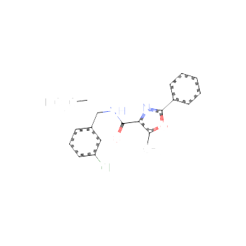 O=C(O)C[C@H](NC(=O)c1nc(-c2ccccc2)oc1C(F)(F)F)c1cccc(Cl)c1